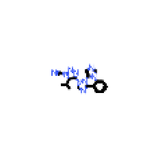 CC(C)c1c(N2CN=C3c4ccccc4-n4cncc4N32)nnn1C#N